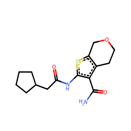 NC(=O)c1c(NC(=O)CC2CCCC2)sc2c1CCOC2